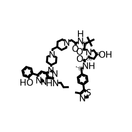 CCCNc1nn(C2CCN(CC3CCN(CC(=O)N[C@H](C(=O)N4C[C@H](O)C[C@H]4C(=O)N[C@@H](C)c4ccc(-c5scnc5C)cc4)C(C)(C)C)CC3)CC2)c2cc(-c3ccccc3O)nnc12